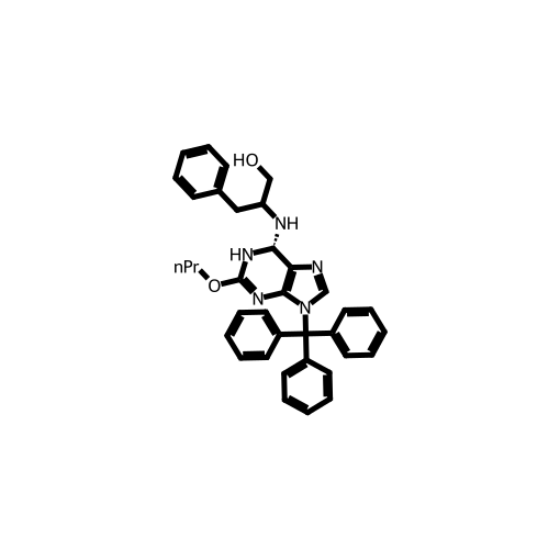 CCCOC1=Nc2c(ncn2C(c2ccccc2)(c2ccccc2)c2ccccc2)[C@@H](NC(CO)Cc2ccccc2)N1